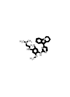 COc1cc(NCCN(C)C)c(N)cc1Nc1nccc(-c2c3n(c4ccccc24)CCCC3)n1